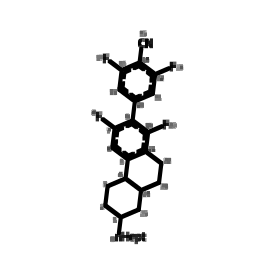 CCCCCCCC1CCC2c3cc(F)c(-c4cc(F)c(C#N)c(F)c4)c(F)c3CCC2C1